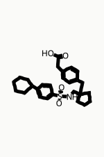 O=C(O)Cc1ccc(CC2(CNS(=O)(=O)c3ccc(C4CCCCC4)cc3)CCCC2)cc1